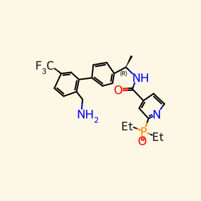 CCP(=O)(CC)c1cc(C(=O)N[C@H](C)c2ccc(-c3cc(C(F)(F)F)ccc3CN)cc2)ccn1